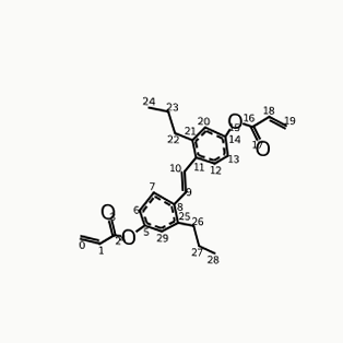 C=CC(=O)Oc1ccc(/C=C/c2ccc(OC(=O)C=C)cc2CCC)c(CCC)c1